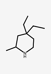 CCC1(CC)CCNC(C)C1